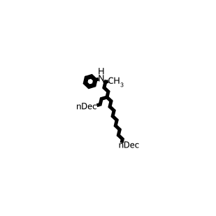 CCCCCCCCCCCCCCCCCCCC(CCCCCCCCCCCC)CCC(C)Nc1ccccc1